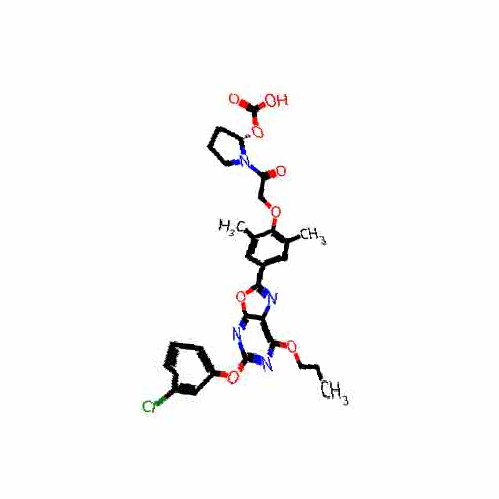 CCCOc1nc(Oc2cccc(Cl)c2)nc2oc(-c3cc(C)c(OCC(=O)N4CCC[C@@H]4OC(=O)O)c(C)c3)nc12